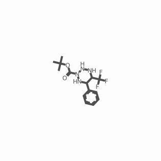 CC(C)(C)OC(=O)N1NNC(C(F)(F)F)C(c2ccccc2)N1